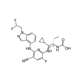 CC[C@H](NC(=O)O)[C@@H](Nc1nc(Nc2cccc3c2cnn3CC(F)F)c(C#N)cc1F)C1CC1